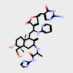 C=C1C(NC(C)C(=O)NC2=NCC=N2)CC2[C@](C)(CC[C@@H](O)[C@@]2(C)CO)C1CC(Nc1ccccn1)C1=C/C(=C\c2cnc(N)[nH]c2=O)OC1=O